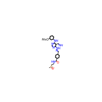 COc1cccc(Nc2ncnc(N/N=C/c3ccc(C(=O)NCC[S+](C)[O-])cc3)c2C=N)c1